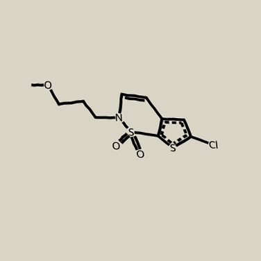 COCCCN1C=Cc2cc(Cl)sc2S1(=O)=O